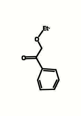 C[CH]OCC(=O)c1ccccc1